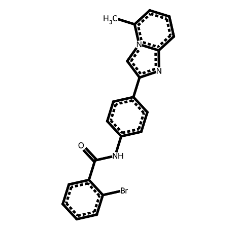 Cc1cccc2nc(-c3ccc(NC(=O)c4ccccc4Br)cc3)cn12